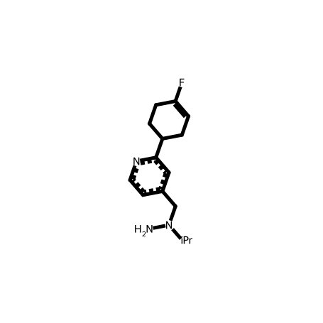 CC(C)N(N)Cc1ccnc(C2CC=C(F)CC2)c1